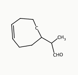 CC(C=O)C1CC/C=C\CCC1